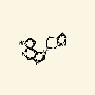 c1cc2n(n1)C[C@H](n1cnc3cnc4[nH]ccc4c31)CC2